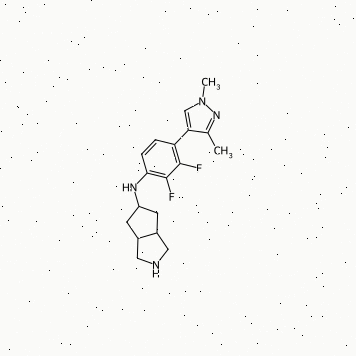 Cc1nn(C)cc1-c1ccc(NC2CC3CNCC3C2)c(F)c1F